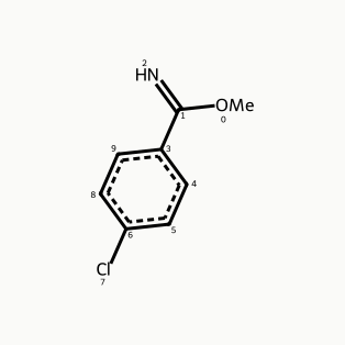 COC(=N)c1ccc(Cl)cc1